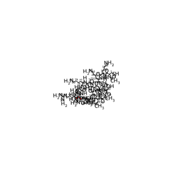 CC(=O)NC(CS)C(=O)NC(CCCCN)C(=O)NC(CCCCN)C(=O)NCC(=O)NC(CO)C(=O)NC(C)C(=O)NC(CC(C)C)C(=O)NC(CCC(=O)O)C(=O)NC(CCC(=O)O)C(=O)N1CCCC1C(=O)NC(CCCCN)C(=O)NC(C)C(=O)NC(C(=O)NC(CCCN=C(N)N)C(=O)NC(CC(C)C)C(N)=O)C(C)O